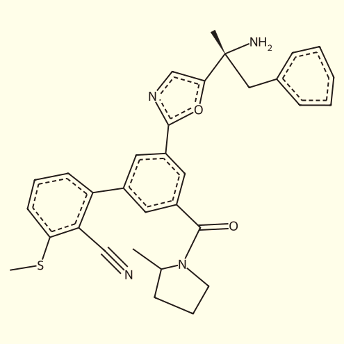 CSc1cccc(-c2cc(C(=O)N3CCCC3C)cc(-c3ncc([C@](C)(N)Cc4ccccc4)o3)c2)c1C#N